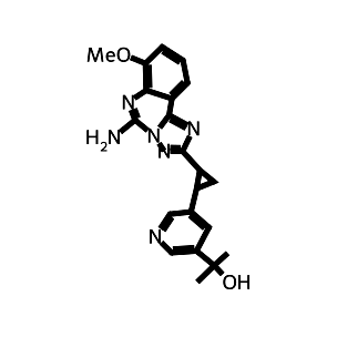 COc1cccc2c1nc(N)n1nc(C3CC3c3cncc(C(C)(C)O)c3)nc21